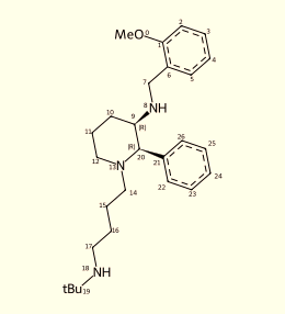 COc1ccccc1CN[C@@H]1CCCN(CCCCNC(C)(C)C)[C@@H]1c1ccccc1